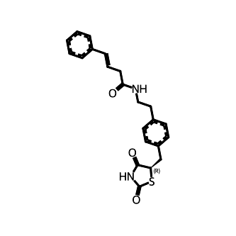 O=C(CC=Cc1ccccc1)NCCc1ccc(C[C@H]2SC(=O)NC2=O)cc1